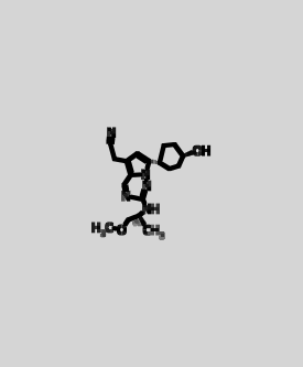 COC[C@H](C)Nc1ncc2c(CC#N)cc([C@H]3CC[C@H](O)CC3)n2n1